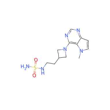 Cn1ccc2ncnc(N3CC(CCNS(N)(=O)=O)C3)c21